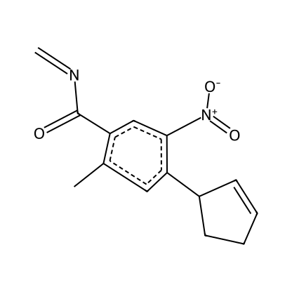 C=NC(=O)c1cc([N+](=O)[O-])c(C2C=CCC2)cc1C